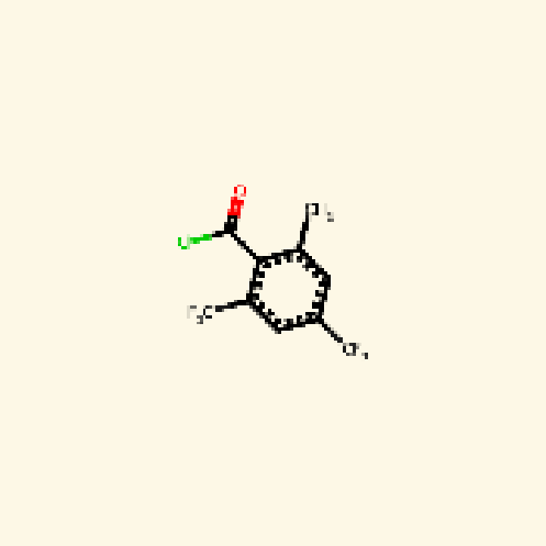 Cc1cc(C(F)(F)F)cc(C(F)(F)F)c1C(=O)Cl